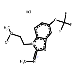 C/N=c1/sc2cc(OC(F)(F)F)ccc2n1CC[S+](C)[O-].Cl